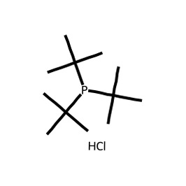 CC(C)(C)P(C(C)(C)C)C(C)(C)C.Cl